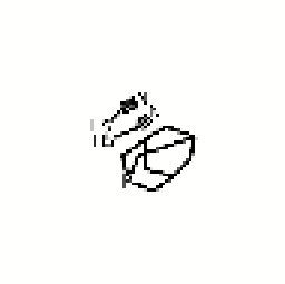 C1C2CC3CC1CP(C2)C3.N#CS.N#CS